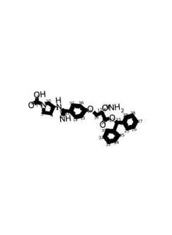 N=C(N[C@@H]1CCN(C(=O)O)C1)c1ccc(OCC(ON)C(=O)OC(c2ccccc2)c2ccccc2)cc1